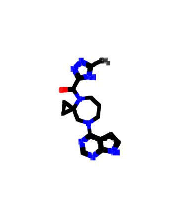 Cc1nnc(C(=O)N2CCCN(c3ncnc4[nH]ccc34)CC23CC3)[nH]1